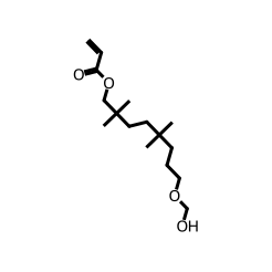 C=CC(=O)OCC(C)(C)CCC(C)(C)CCCOCO